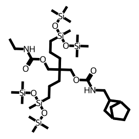 CCNC(=O)OCC(CCC[Si](C)(O[Si](C)(C)C)O[Si](C)(C)C)(CCC[Si](C)(O[Si](C)(C)C)O[Si](C)(C)C)COC(=O)NCC1CC2CCC1C2